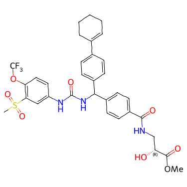 COC(=O)[C@H](O)CNC(=O)c1ccc(C(NC(=O)Nc2ccc(OC(F)(F)F)c(S(C)(=O)=O)c2)c2ccc(C3=CCCCC3)cc2)cc1